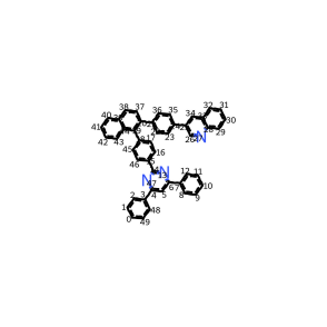 c1ccc(-c2cc(-c3ccccc3)nc(-c3ccc(-c4c(-c5ccc(-c6cnc7ccccc7c6)cc5)ccc5ccccc45)cc3)n2)cc1